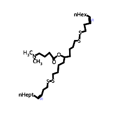 CCCCCC/C=C\CCSSCCCCC(CCCCSSCC/C=C\CCCCCCC)OC(=O)CCCN(C)C